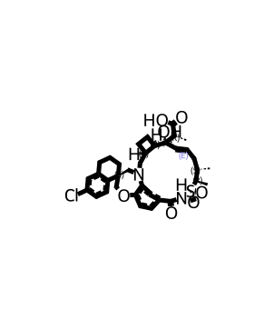 C[C@@H]1[C@@H](C)C/C=C/[C@](O)([C@@H](C)C(=O)O)[C@@H]2CC[C@H]2CN2C[C@@]3(CCCc4cc(Cl)ccc43)COc3ccc(cc32)C(=O)NS1(=O)=O